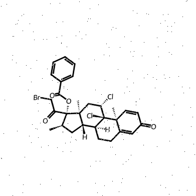 C[C@@H]1C[C@H]2[C@@H]3CCC4=CC(=O)C=C[C@]4(C)[C@@]3(Cl)[C@@H](Cl)C[C@]2(C)[C@]1(OC(=O)c1ccccc1)C(=O)CBr